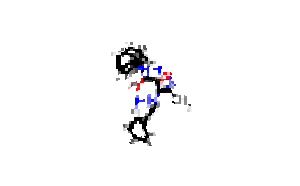 Cc1noc(C(=O)NC23CC4CC(CC(C4)C2)C3)c1NCC1CCCCC1